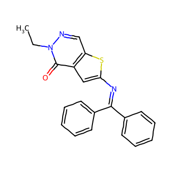 CCn1ncc2sc(N=C(c3ccccc3)c3ccccc3)cc2c1=O